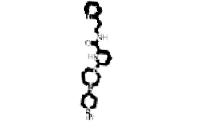 CC(C)N1CCC(N2CCCN(C3C=CC=C(C(=O)NCCc4ccccn4)N3)CC2)CC1